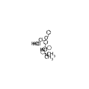 CN(C)[C@@H]1CCCN(CC(c2ccc(OCc3ccccc3)c(Cl)c2)C2(O)CCCCC2)C1.Cl.Cl